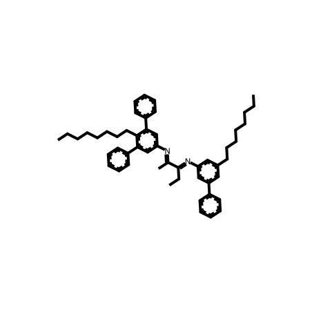 CCCCCCCCc1cc(N=C(CC)C(C)=Nc2cc(-c3ccccc3)c(CCCCCCCC)c(-c3ccccc3)c2)cc(-c2ccccc2)c1